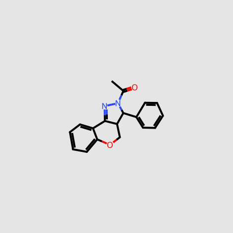 CC(=O)N1N=C2c3ccccc3OCC2C1c1ccccc1